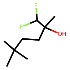 CC(C)(C)CCC(C)(O)C(F)F